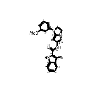 COc1cccc(N2CCn3nc(NC(=O)c4[nH]c5ccccc5c4C)cc32)c1